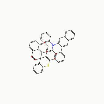 c1ccc(-c2cc3ccccc3cc2N(c2ccccc2)c2ccc3c(c2)C2(c4ccccc4S3)c3ccccc3-c3cccc4cccc2c34)cc1